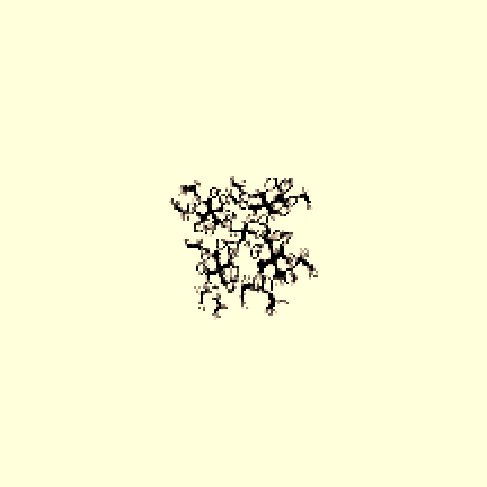 CCOC(=O)C(C(=O)OCC)(C(=O)OCC)C(=O)OCC(COC(=O)C(C(=O)OCC)(C(=O)OCC)C(=O)OCC)(COC(=O)C(C(=O)OCC)(C(=O)OCC)C(=O)OCC)COC(=O)C(C(=O)OCC)(C(=O)OCC)C(=O)OCC